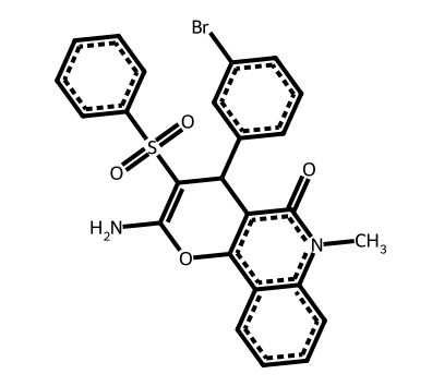 Cn1c(=O)c2c(c3ccccc31)OC(N)=C(S(=O)(=O)c1ccccc1)C2c1cccc(Br)c1